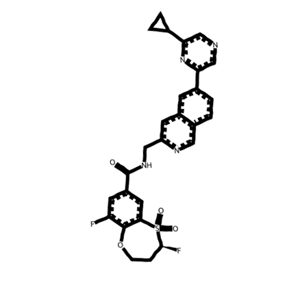 O=C(NCc1cc2cc(-c3cncc(C4CC4)n3)ccc2cn1)c1cc(F)c2c(c1)S(=O)(=O)[C@@H](F)CCO2